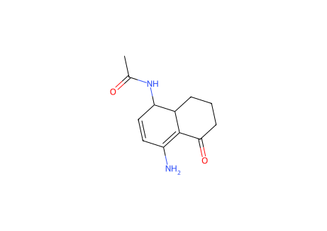 CC(=O)NC1C=CC(N)=C2C(=O)CCCC21